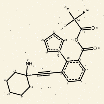 NC1(C#Cc2cccc(C(=O)OC(=O)C(F)(F)F)c2-n2cccc2)CCCCC1